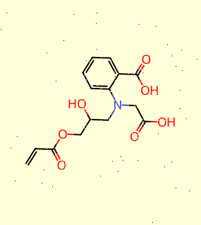 C=CC(=O)OCC(O)CN(CC(=O)O)c1ccccc1C(=O)O